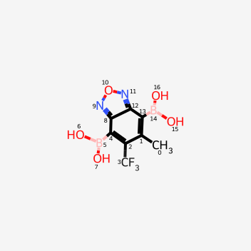 Cc1c(C(F)(F)F)c(B(O)O)c2nonc2c1B(O)O